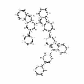 c1ccc(-c2ccc(-n3c4ccccc4c4cc(-c5ccc6c7ccccc7n(-c7cc(-c8ccccc8)cc8c7oc7ccccc78)c6c5)ccc43)cc2)cc1